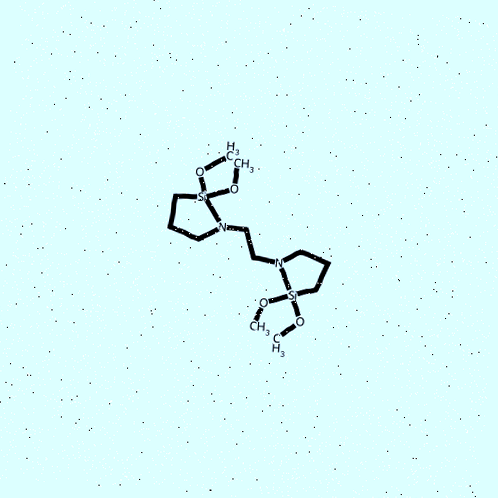 CO[Si]1(OC)CCCN1CCN1CCC[Si]1(OC)OC